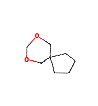 C1CCC2(C1)COCOC2